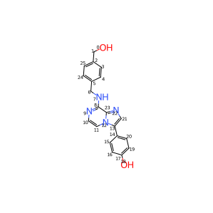 OCc1ccc(CNc2nccn3c(-c4ccc(O)cc4)cnc23)cc1